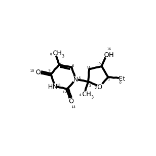 CCC1OC(C)(n2cc(C)c(=O)[nH]c2=O)CC1O